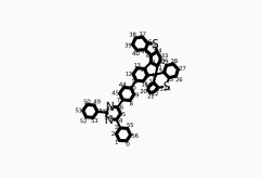 c1ccc(-c2cc(-c3ccc(-c4ccc5c(c4)C4(c6ccccc6Sc6ccccc64)c4ccc6sc7ccccc7c6c4-5)cc3)nc(-c3ccccc3)n2)cc1